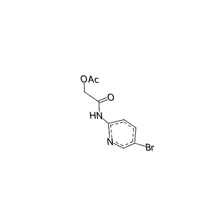 CC(=O)OCC(=O)Nc1ccc(Br)cn1